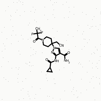 CC(F)(F)C(=O)N1CCC(CC#N)(n2cc(C(N)=O)c(NC(=O)C3CC3)n2)CC1